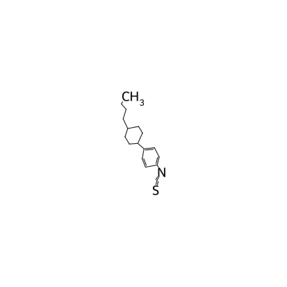 CCCCC1CCC(c2ccc(N=C=S)cc2)CC1